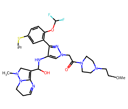 COCCN1CCN(C(=O)Cn2cc(NC(O)C3=C4N=CCCN4N(C)C3)c(-c3cc(SC(C)C)ccc3OC(F)F)n2)CC1